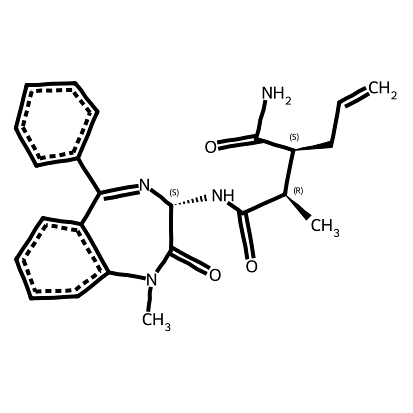 C=CC[C@H](C(N)=O)[C@@H](C)C(=O)N[C@H]1N=C(c2ccccc2)c2ccccc2N(C)C1=O